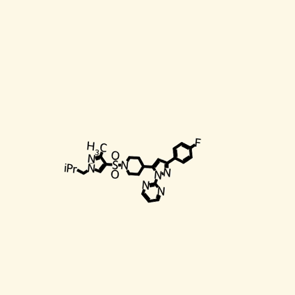 Cc1nn(CC(C)C)cc1S(=O)(=O)N1CCC(c2cc(-c3ccc(F)cc3)nn2-c2ncccn2)CC1